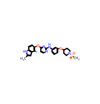 Cc1cc2c(F)c(Oc3ccnc(Nc4cccc(OC5CCN(S(C)(=O)=O)CC5)c4)n3)ccc2[nH]1